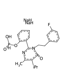 Cc1nc(-c2ccccc2O[PH](=O)O)n(CCc2cccc(F)c2)c(=O)c1C(C)C.[NaH].[NaH]